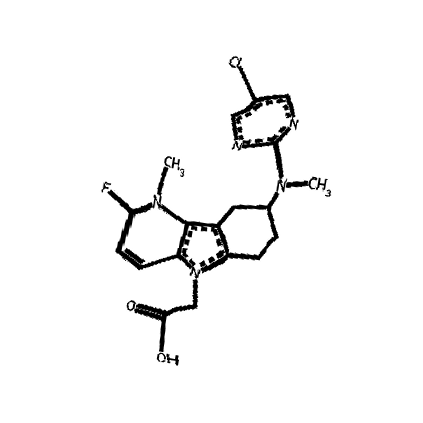 CN1c2c3c(n(CC(=O)O)c2C=CC1F)CCC(N(C)c1ncc(Cl)cn1)C3